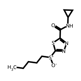 CCCCC[S+]([O-])c1nnc(C(=O)NC2CC2)s1